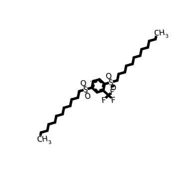 CCCCCCCCCCCCS(=O)(=O)c1[c]cc(S(=O)(=O)CCCCCCCCCCCC)c(C(F)(F)F)c1